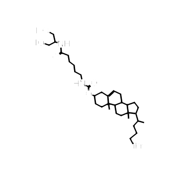 CC(C)CCCC(C)C1CCC2C3CC=C4CC(OC(=O)NCCCCCC(=O)NC(CO)CO)CCC4(C)C3CCC12C